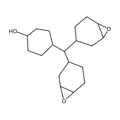 OC1CCC(C(C2CCC3OC3C2)C2CCC3OC3C2)CC1